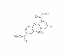 COC(=O)c1ccc(Sc2ccc(C)cc2C(=O)OC)c([N+](=O)[O-])c1